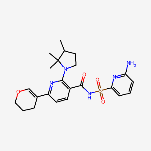 CC1CCN(c2nc(C3=COCCC3)ccc2C(=O)NS(=O)(=O)c2cccc(N)n2)C1(C)C